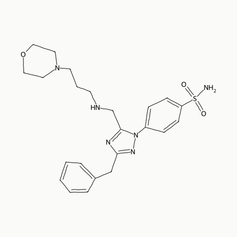 NS(=O)(=O)c1ccc(-n2nc(Cc3ccccc3)nc2CNCCCN2CCOCC2)cc1